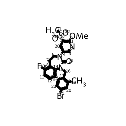 COc1ncc(N2CCc3c(F)cccc3N(Cc3c(C)cc(Br)cc3F)C2=O)cc1S(C)(=O)=O